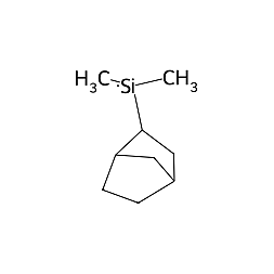 C[Si](C)C1CC2CCC1C2